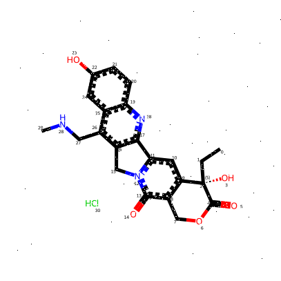 CC[C@@]1(O)C(=O)OCc2c1cc1n(c2=O)Cc2c-1nc1ccc(O)cc1c2CNC.Cl